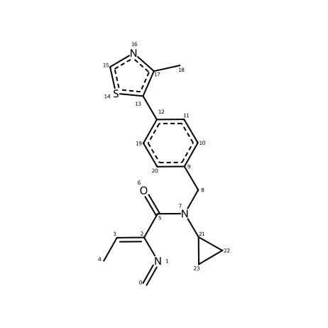 C=N/C(=C\C)C(=O)N(Cc1ccc(-c2scnc2C)cc1)C1CC1